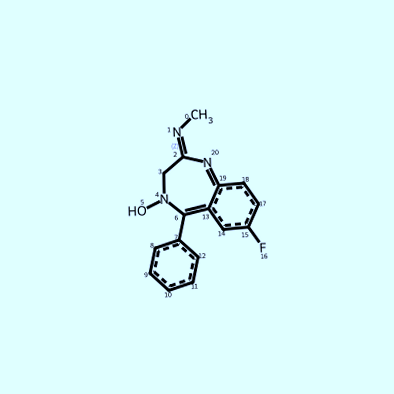 C/N=C1/CN(O)C(c2ccccc2)=c2cc(F)ccc2=N1